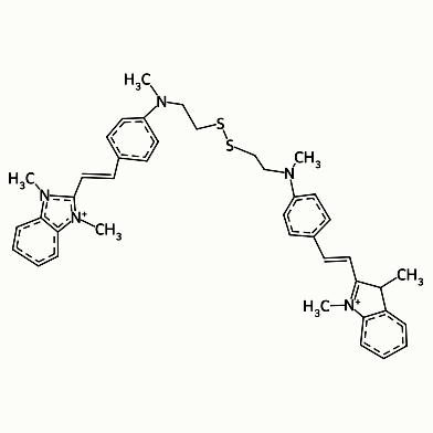 CC1C(/C=C/c2ccc(N(C)CCSSCCN(C)c3ccc(/C=C/c4n(C)c5ccccc5[n+]4C)cc3)cc2)=[N+](C)c2ccccc21